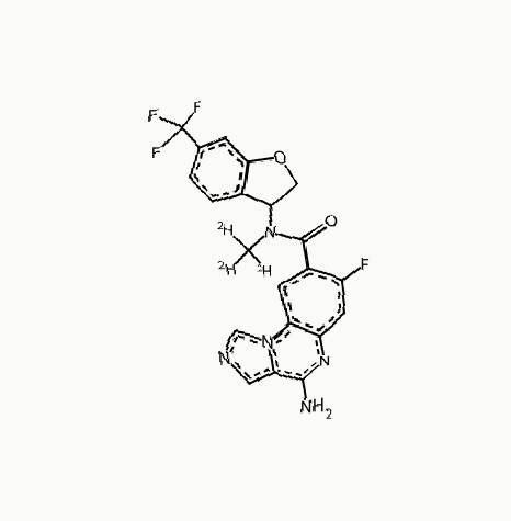 [2H]C([2H])([2H])N(C(=O)c1cc2c(cc1F)nc(N)c1cncn12)C1COc2cc(C(F)(F)F)ccc21